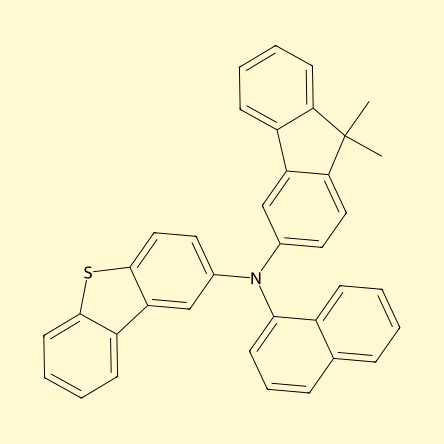 CC1(C)c2ccccc2-c2cc(N(c3ccc4sc5ccccc5c4c3)c3cccc4ccccc34)ccc21